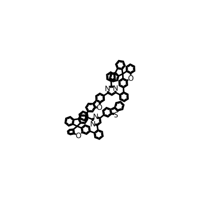 c1ccc(-c2nc(-c3ccc4c(c3)oc3cc(-c5ccc6c(c5)-c5ccccc5C65c6ccccc6Oc6cc(-c7ccccc7-c7cc(-c8ccc9c(c8)sc8ccccc89)nc(-c8ccccc8)n7)ccc65)ccc34)cc(-c3ccccc3-c3ccc4c(c3)Oc3ccccc3C43c4ccccc4-c4ccccc43)n2)cc1